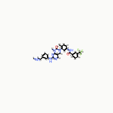 CNCCc1cccc(Nc2ncc3c(n2)N(C)C(=O)N(c2cc(NC(=O)c4cccc(C(F)(F)F)c4)ccc2C)C3)c1